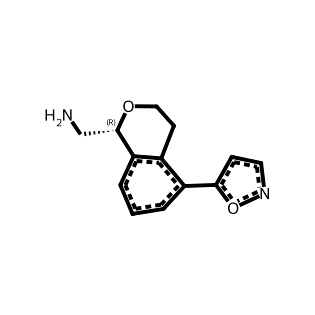 NC[C@@H]1OCCc2c(-c3ccno3)cccc21